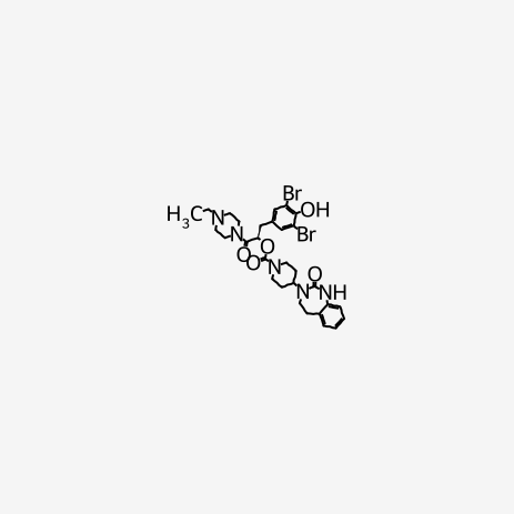 CCN1CCN(C(=O)[C@@H](Cc2cc(Br)c(O)c(Br)c2)OC(=O)N2CCC(N3CCc4ccccc4NC3=O)CC2)CC1